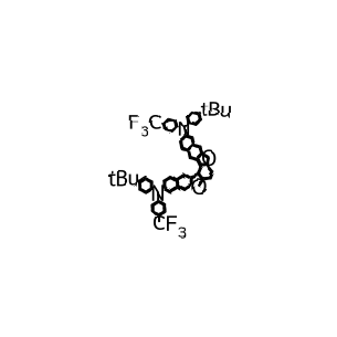 CC(C)(C)c1ccc(N(c2ccc(C(F)(F)F)cc2)c2ccc3cc4c(cc3c2)oc2ccc3oc5cc6cc(N(c7ccc(C(C)(C)C)cc7)c7ccc(C(F)(F)F)cc7)ccc6cc5c3c24)cc1